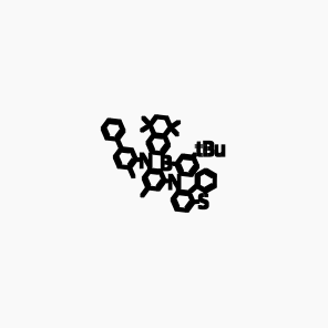 Cc1cc2c3c(c1)N(c1cccc4sc5ccccc5c14)c1ccc(C(C)(C)C)cc1B3c1cc3c(cc1N2c1cc(-c2ccccc2)ccc1C)C(C)(C)CCC3(C)C